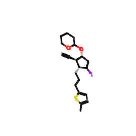 C#C[C@@H]1[C@@H](CCCc2ccc(C)s2)[C@H](I)C[C@H]1OC1CCCCO1